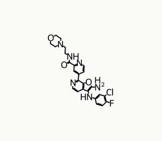 Nc1oc2c(-c3ccnc(C(=O)NCCN4CCOCC4)c3)nccc2c1Nc1ccc(F)c(Cl)c1